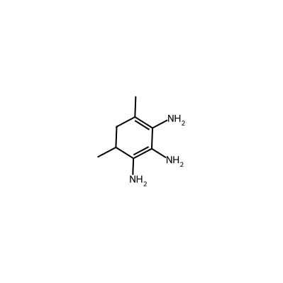 CC1=C(N)C(N)=C(N)C(C)C1